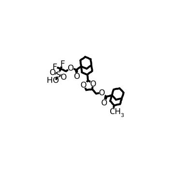 CC1CC2CCCC(C(=O)OCC3COC(C4CC5CCCC(C(=O)OCC(F)(F)S(=O)(=O)O)(C5)C4)O3)(C1)C2